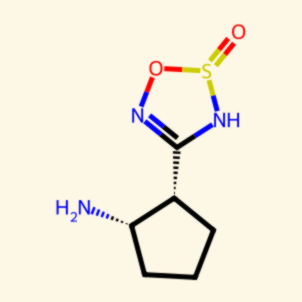 N[C@H]1CCC[C@H]1C1=NOS(=O)N1